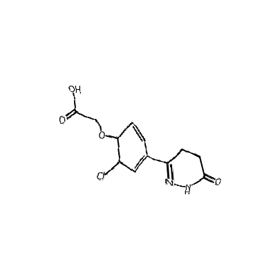 O=C(O)COC1C=CC(C2=NNC(=O)CC2)=CC1Cl